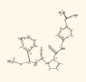 N=C(N)c1ccc(NC(=O)C2CCCN2C(=O)NC(CC(=O)O)c2cccnc2)cc1